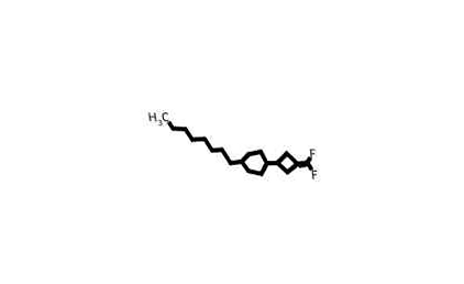 CCCCCCCCC1CCC(C2CC(=C(F)F)C2)CC1